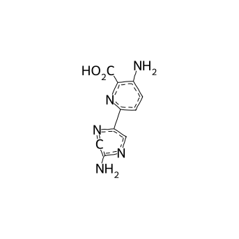 Nc1cnc(-c2ccc(N)c(C(=O)O)n2)cn1